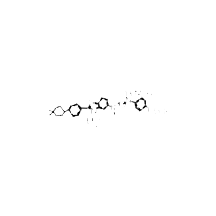 COc1cc(C(=O)O)ccc1NOSN(C)c1ccc2sc(-c3ccc(C4CCC(C)(C)CC4)cc3)nc2c1.S